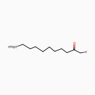 CCCCCCCCCCCCCCCC(=O)CI